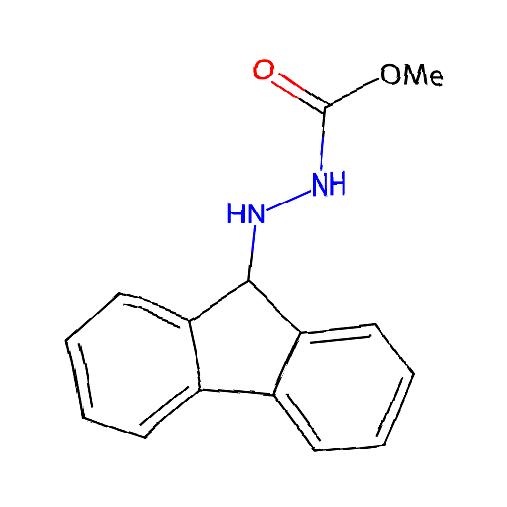 COC(=O)NNC1c2ccccc2-c2ccccc21